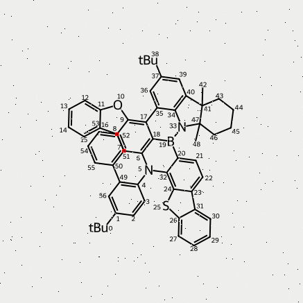 CC(C)(C)c1ccc(N2c3cc4c(oc5ccccc54)c4c3B(c3ccc5c(sc6ccccc65)c32)N2c3c-4cc(C(C)(C)C)cc3C3(C)CCCCC23C)c(-c2ccccc2)c1